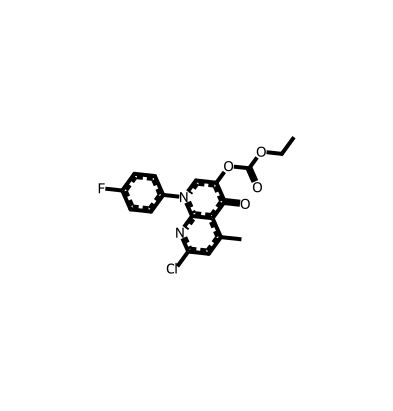 CCOC(=O)Oc1cn(-c2ccc(F)cc2)c2nc(Cl)cc(C)c2c1=O